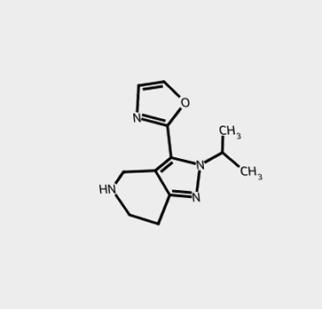 CC(C)n1nc2c(c1-c1ncco1)CNCC2